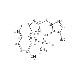 CCc1cnn(Cc2nc3cnc4ccc(C#N)cc4c3n2CC(C)(F)F)c1